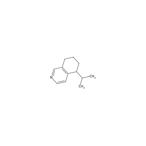 CC(C)C1CCCc2cnccc21